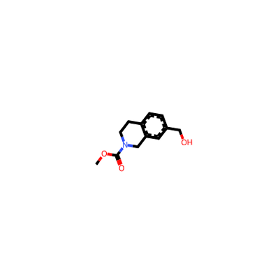 COC(=O)N1CCc2ccc(CO)cc2C1